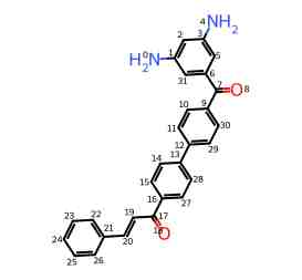 Nc1cc(N)cc(C(=O)c2ccc(-c3ccc(C(=O)C=Cc4ccccc4)cc3)cc2)c1